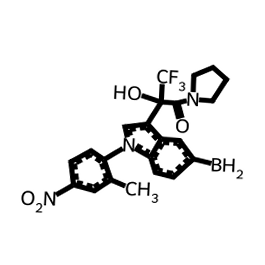 Bc1ccc2c(c1)c(C(O)(C(=O)N1CCCC1)C(F)(F)F)cn2-c1ccc([N+](=O)[O-])cc1C